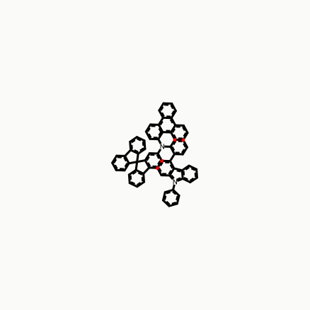 c1ccc(-n2c3ccccc3c3c(-c4ccccc4N(c4ccc5c(c4)C4(c6ccccc6-c6ccccc64)c4ccccc4-5)c4cccc5c6ccccc6c6ccccc6c45)cccc32)cc1